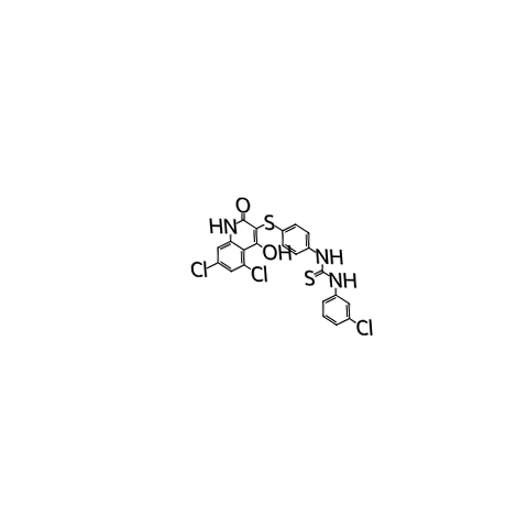 O=c1[nH]c2cc(Cl)cc(Cl)c2c(O)c1Sc1ccc(NC(=S)Nc2cccc(Cl)c2)cc1